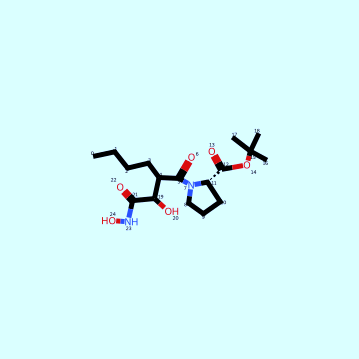 CCCCC(C(=O)N1CCC[C@H]1C(=O)OC(C)(C)C)C(O)C(=O)NO